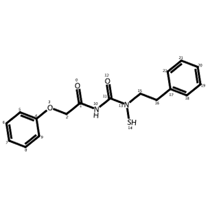 O=C(COc1ccccc1)NC(=O)N(S)CCc1ccccc1